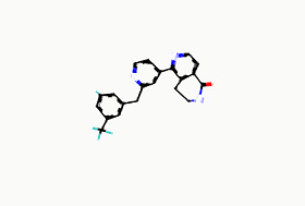 O=C1NCCc2c1ccnc2-c1ccnc(Cc2cc(F)cc(C(F)(F)F)c2)c1